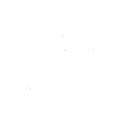 OC(CC1c2ccccc2C2CN=CN21)c1ccncc1